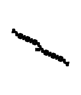 CC(C)(c1ccc(OCCC(O)COc2ccc(C(C)(C)c3ccc(C(C)(C)c4ccc(OCC5CO5)cc4)cc3)cc2)cc1)c1ccc(C(C)(C)c2ccc(OCC3CO3)cc2)cc1